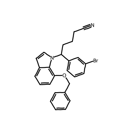 N#CCCCC(c1cccc(Br)c1)n1ccc2cccc(OCc3ccccc3)c21